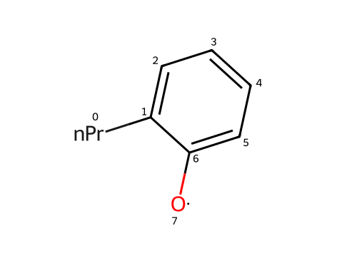 CCCc1ccccc1[O]